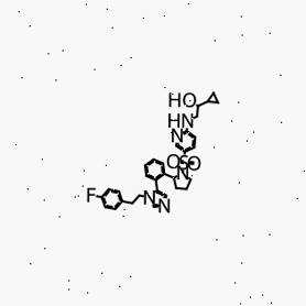 O=S(=O)(c1ccc(NCC(O)C2CC2)nc1)N1CCCC1c1ccccc1-c1cncn1CCc1ccc(F)cc1